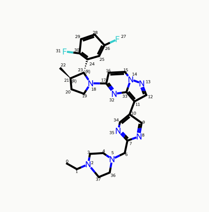 CCN1CCN(Cc2ncc(-c3cnn4ccc(N5CC[C@@H](C)[C@@H]5c5cc(F)ccc5F)nc34)cn2)CC1